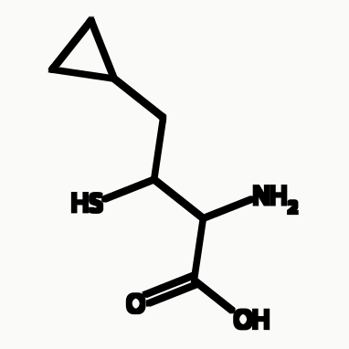 NC(C(=O)O)C(S)CC1CC1